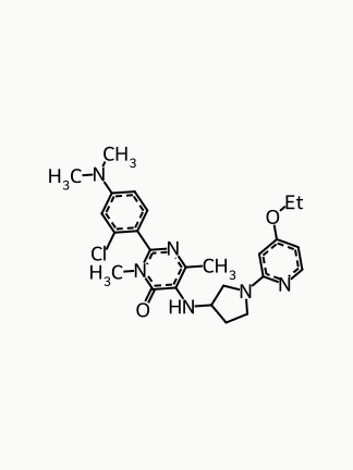 CCOc1ccnc(N2CCC(Nc3c(C)nc(-c4ccc(N(C)C)cc4Cl)n(C)c3=O)C2)c1